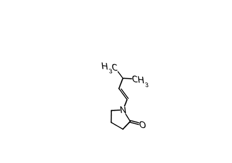 CC(C)C=CN1CCCC1=O